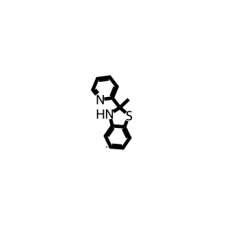 CC1(c2ccccn2)Nc2c[c]ccc2S1